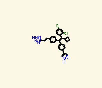 Fc1ccc(/C(=C(\c2ccc(/C=C/c3nn[nH]n3)cc2)c2ccc(-c3cn[nH]c3)cc2)C2CCC2)c(Cl)c1